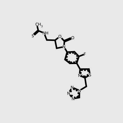 CC(=S)NCC1CN(c2ccc(-c3csc(Cn4cnnn4)n3)c(F)c2)C(=O)O1